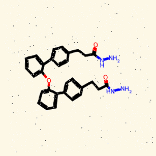 NNC(=O)CCc1ccc(-c2ccccc2Oc2ccccc2-c2ccc(CCC(=O)NN)cc2)cc1